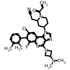 C=CC(=O)N1CCC(n2cnc3c(N4CC(N(C)C)C4)nc4c(F)c(-c5cccc(C)c5C)c(Cl)cc4c32)CC1CC#N